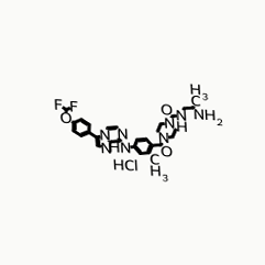 Cc1cc(Nc2nccn3c(-c4ccc(OC(F)F)cc4)cnc23)ccc1C(=O)N1CCN(C(=O)NCC(C)N)CC1.Cl